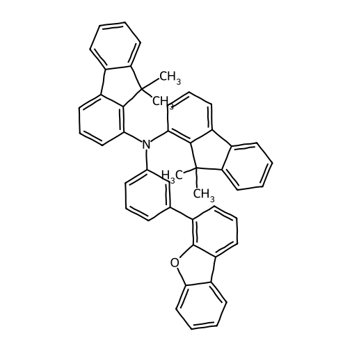 CC1(C)c2ccccc2-c2cccc(N(c3cccc(-c4cccc5c4oc4ccccc45)c3)c3cccc4c3C(C)(C)c3ccccc3-4)c21